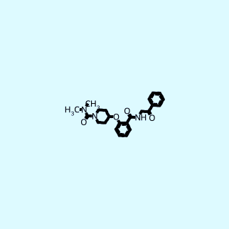 CN(C)C(=O)N1CCC(Oc2ccccc2C(=O)NCC(=O)c2ccccc2)CC1